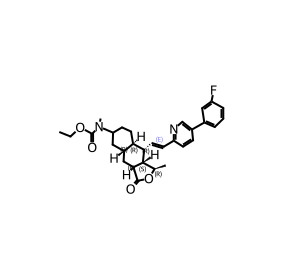 CCOC(=O)N(C)C1CC[C@@H]2[C@@H](C1)C[C@H]1C(=O)O[C@H](C)[C@H]1[C@H]2/C=C/c1ccc(-c2cccc(F)c2)cn1